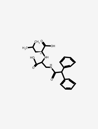 CC(C)C[C@H](NC(CNC(=O)C(c1ccccc1)c1ccccc1)C(=O)O)C(=O)O